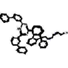 CC/C=C\C=C/CC1(c2ccccc2)c2cccc(C3=NC(c4cccc(-c5ccccc5)c4)NC(C4C=CC=C(c5ccccc5)C4)=N3)c2C2C=CC=CC21